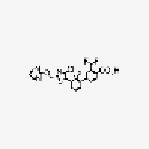 Cc1nc(COc2ncccn2)sc1-c1cccc(-c2ccc(C(=O)O)c(C(F)F)c2)n1